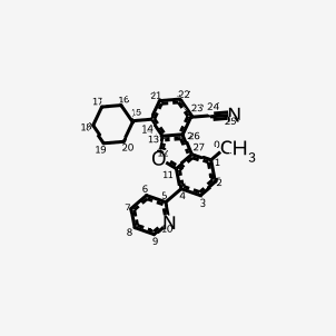 Cc1ccc(-c2ccccn2)c2oc3c(C4CCCCC4)ccc(C#N)c3c12